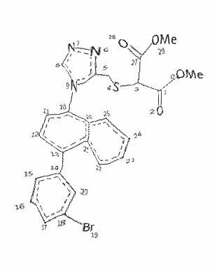 COC(=O)C(Sc1nncn1-c1ccc(-c2cccc(Br)c2)c2ccccc12)C(=O)OC